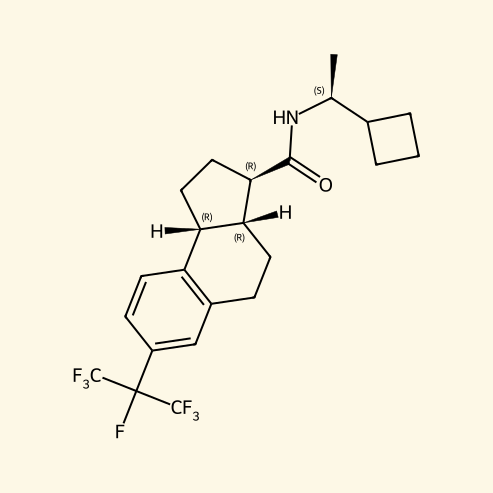 C[C@H](NC(=O)[C@@H]1CC[C@H]2c3ccc(C(F)(C(F)(F)F)C(F)(F)F)cc3CC[C@@H]12)C1CCC1